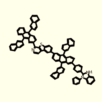 c1ccc(N2c3ccccc3NC2c2ccc(-c3ccc4c(-c5ccc6ccccc6c5)c5cc(-c6ccc7sc8c(-c9ccc%10c(-c%11ccc%12ccccc%12c%11)c%11ccccc%11c(-c%11ccc%12ccccc%12c%11)c%10c9)nccc8c7c6)ccc5c(-c5ccc6ccccc6c5)c4c3)cc2)cc1